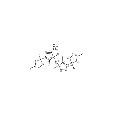 CCCC(C)(CC)C1=C(C)[C](C)([Zr+2][C]2(C)C=CC(C(C)(CC)CCC)=C2C)C=C1.[Cl-].[Cl-]